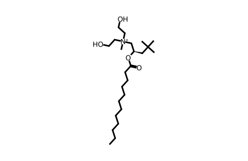 CCCCCCCCCCCC(=O)O[C@H](CC(C)(C)C)C[N+](C)(CCO)CCO